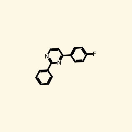 Fc1ccc(-c2ccnc(-c3ccccc3)n2)cc1